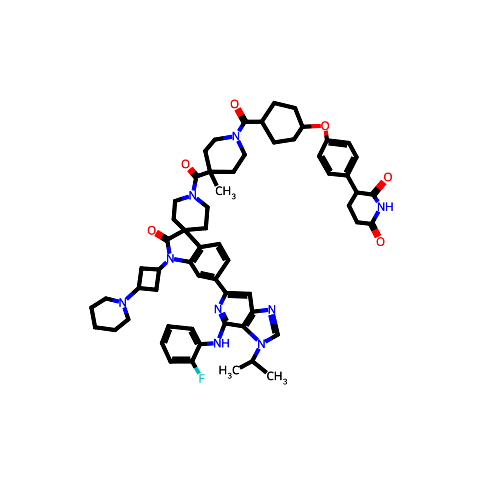 CC(C)n1cnc2cc(-c3ccc4c(c3)N(C3CC(N5CCCCC5)C3)C(=O)C43CCN(C(=O)C4(C)CCN(C(=O)C5CCC(Oc6ccc(C7CCC(=O)NC7=O)cc6)CC5)CC4)CC3)nc(Nc3ccccc3F)c21